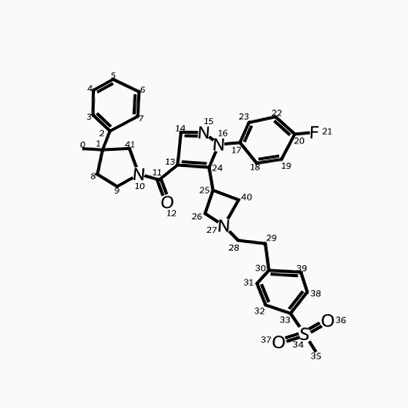 CC1(c2ccccc2)CCN(C(=O)c2cnn(-c3ccc(F)cc3)c2C2CN(CCc3ccc(S(C)(=O)=O)cc3)C2)C1